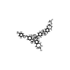 CN(C)CN1CCc2ccc(S(=O)(=O)c3ccc(C(O)[N+](C)(C)c4cc5c(cc4S(=O)(=O)c4ccc(COc6ccc(F)cc6)cc4)CCN(C)CC5)cc3)cc2CC1